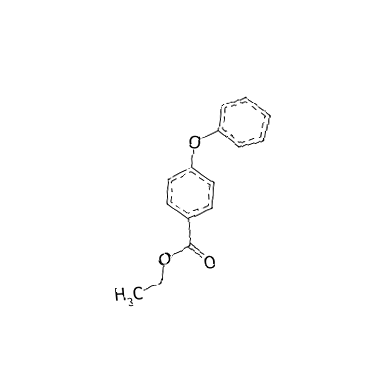 CCOC(=O)c1ccc(Oc2ccccc2)cc1